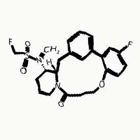 C=[N+]([C@H]1CCCN2C(=O)CCOc3ccc(F)cc3-c3cccc(c3)C[C@@H]12)S(=O)(=O)CF